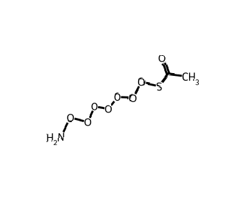 CC(=O)SOOOOOOON